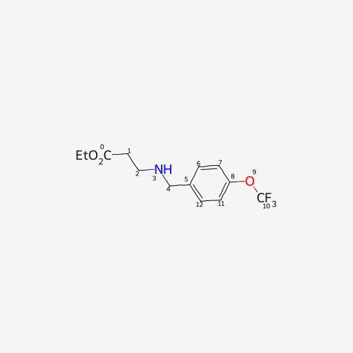 CCOC(=O)CCNCc1ccc(OC(F)(F)F)cc1